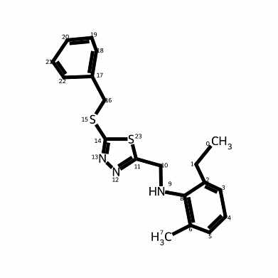 CCc1cccc(C)c1NCc1nnc(SCc2ccccc2)s1